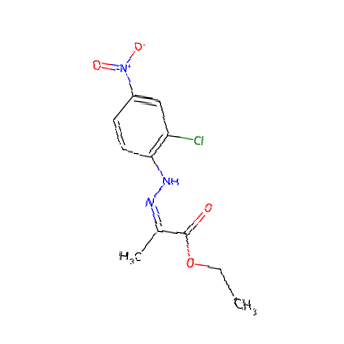 CCOC(=O)/C(C)=N\Nc1ccc([N+](=O)[O-])cc1Cl